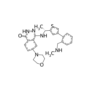 CNCc1ccccc1-c1csc([C@@H](C)Nc2n[nH]c(=O)c3ccc(N4CCOCC4)cc23)c1